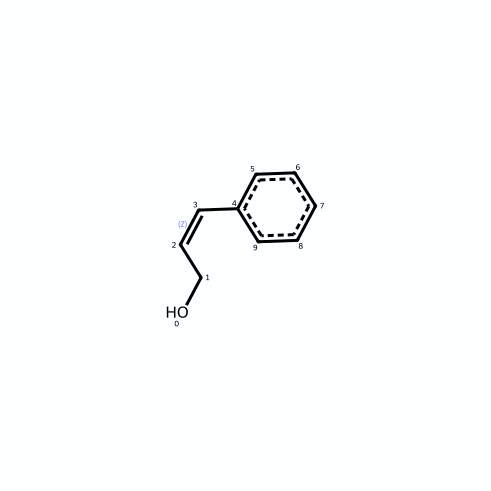 OC/C=C\c1ccccc1